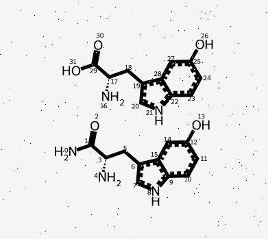 NC(=O)[C@@H](N)Cc1c[nH]c2ccc(O)cc12.N[C@@H](Cc1c[nH]c2ccc(O)cc12)C(=O)O